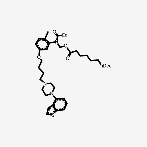 CCCCCCCCCCCCCCCC(=O)OCN(C(=O)CC)c1cc(OCCCCN2CCN(c3cccc4sccc34)CC2)ccc1C